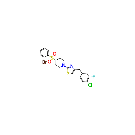 O=S(=O)(c1ccccc1Br)C1CCN(c2nc(Cc3ccc(Cl)c(F)c3)cs2)CC1